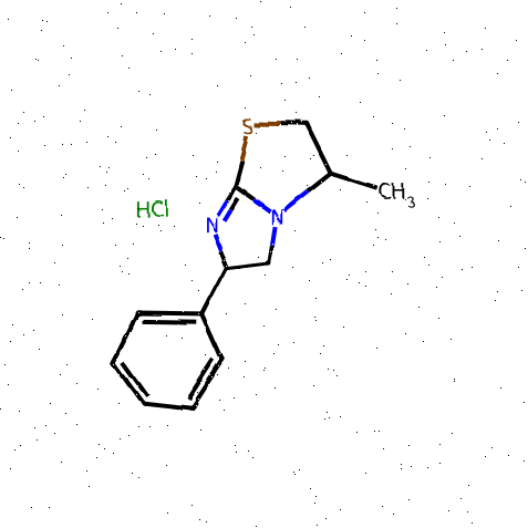 CC1CSC2=NC(c3ccccc3)CN21.Cl